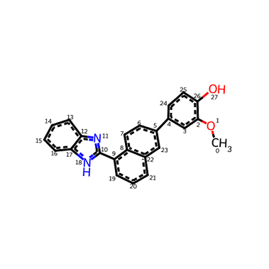 COc1cc(-c2ccc3c(-c4nc5ccccc5[nH]4)cccc3c2)ccc1O